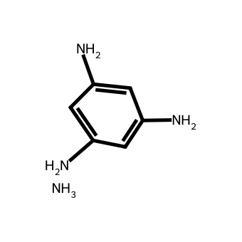 N.Nc1cc(N)cc(N)c1